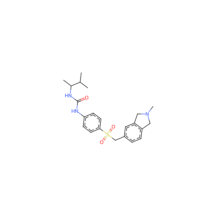 CC(C)C(C)NC(=O)Nc1ccc(S(=O)(=O)Cc2ccc3c(c2)CN(C)C3)cc1